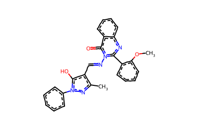 COc1ccccc1-c1nc2ccccc2c(=O)n1N=Cc1c(C)nn(-c2ccccc2)c1O